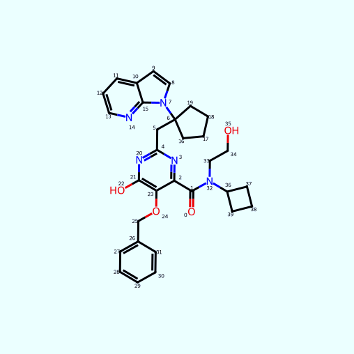 O=C(c1nc(CC2(n3ccc4cccnc43)CCCC2)nc(O)c1OCc1ccccc1)N(CCO)C1CCC1